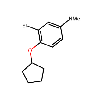 CCc1cc(NC)ccc1OC1CCCC1